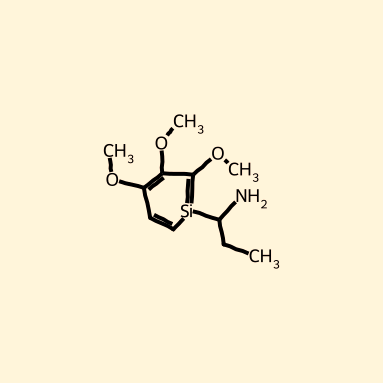 CCC(N)[si]1ccc(OC)c(OC)c1OC